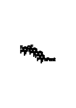 CCCCCc1cc2ccc(-c3ccc(C(F)(F)Oc4cc(F)c(F)c(F)c4)c(F)c3F)c(F)c2c(F)c1F